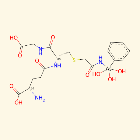 N[C@@H](CCC(=O)N[C@@H](CSCC(=O)N[As](O)(O)(O)c1ccccc1)C(=O)NCC(=O)O)C(=O)O